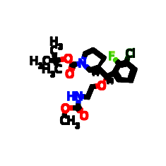 COC(=O)NCCO[C@@H](c1cccc(Cl)c1F)[C@@H]1CCCN(C(=O)OC(C)(C)C)C1